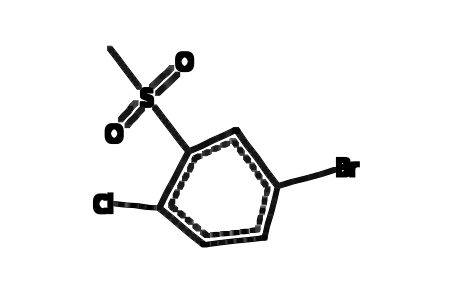 CS(=O)(=O)c1cc(Br)ccc1Cl